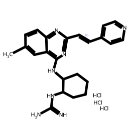 Cc1ccc2nc(/C=C/c3ccncc3)nc(NC3CCCCC3NC(=N)N)c2c1.Cl.Cl.Cl